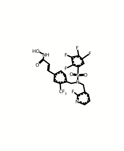 O=C(/C=C/c1ccc(CN(Cc2cccnc2F)S(=O)(=O)c2cc(F)c(F)c(F)c2F)c(C(F)(F)F)c1)NO